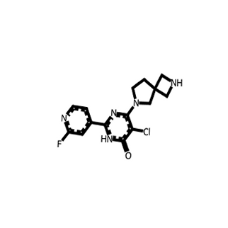 O=c1[nH]c(-c2ccnc(F)c2)nc(N2CCC3(CNC3)C2)c1Cl